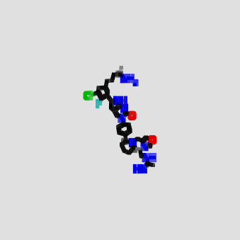 CC(=N)NCC[C@@H]1CCC[C@@H](c2ccc(-n3cc4cc(-c5cc(CCC[C@H](C)N)cc(Cl)c5F)[nH]c4nc3=O)cc2)N1Cc1cocn1